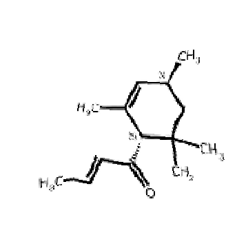 CC=CC(=O)[C@@H]1C(C)=C[C@@H](C)CC1(C)C